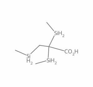 C[SiH2]CC([SiH2]C)([SiH2]C)C(=O)O